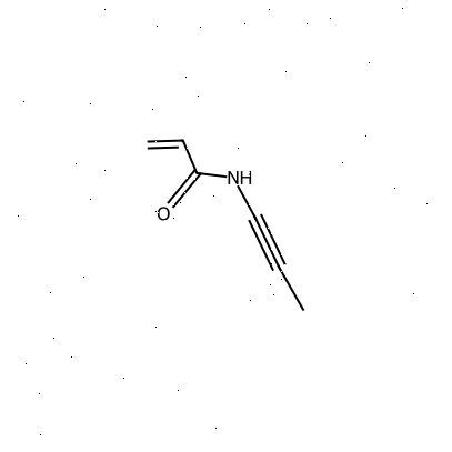 C=CC(=O)NC#CC